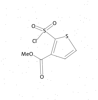 COC(=O)c1ccsc1S(=O)(=O)Cl